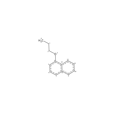 CCCOc1cccc2[c]cccc12